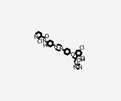 O=C(Nc1ccc(N2CCN(c3ccc(OCC(O)(Cn4cncn4)c4ccc(Cl)cc4Cl)cc3)CC2)cc1)c1cccnc1Cl